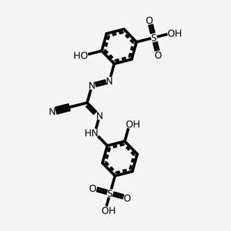 N#CC(N=Nc1cc(S(=O)(=O)O)ccc1O)=NNc1cc(S(=O)(=O)O)ccc1O